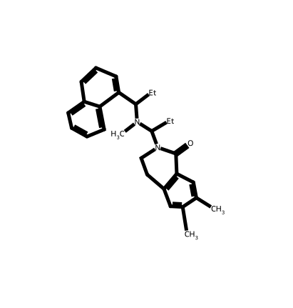 CCC(c1cccc2ccccc12)N(C)C(CC)N1CCc2cc(C)c(C)cc2C1=O